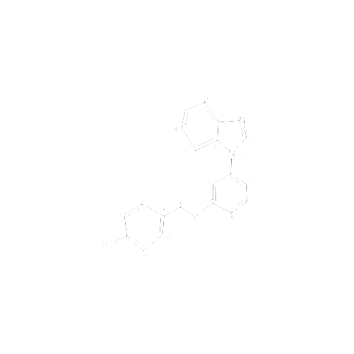 Oc1ccc(CCc2cccc(-n3cnc4ccccc43)c2)cc1